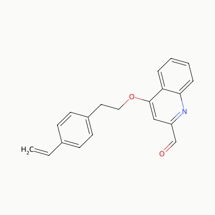 C=Cc1ccc(CCOc2cc(C=O)nc3ccccc23)cc1